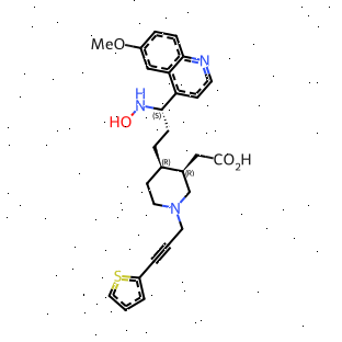 COc1ccc2nccc([C@H](CC[C@@H]3CCN(CC#Cc4cccs4)C[C@@H]3CC(=O)O)NO)c2c1